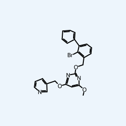 COc1cc(OCc2cccnc2)nc(OCc2cccc(-c3ccccc3)c2Br)n1